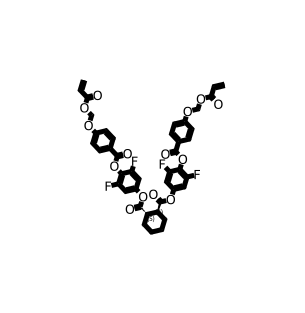 C=CC(=O)OCOc1ccc(C(=O)Oc2c(F)cc(OC(=O)[C@H]3CCCC[C@@H]3C(=O)Oc3cc(F)c(OC(=O)c4ccc(OCOC(=O)C=C)cc4)c(F)c3)cc2F)cc1